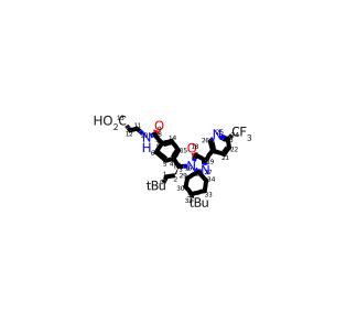 CC(C)(C)CC[C@H](c1ccc(C(=O)NCCC(=O)O)cc1)N1C(=O)C(c2ccc(C(F)(F)F)nc2)=NC12CCC(C(C)(C)C)CC2